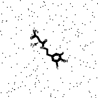 NC(=O)C[C@@H](N)C(=O)NCCc1cc(F)c(O)c(F)c1